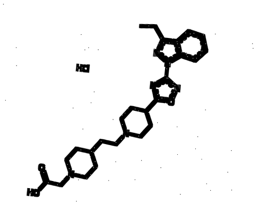 CCc1nn(-c2noc(C3CCN(CCC4CCN(CC(=O)O)CC4)CC3)n2)c2ccccc12.Cl